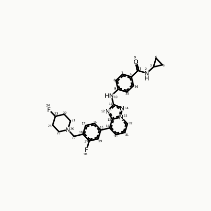 O=C(NC1CC1)c1ccc(Nc2nc3c(-c4ccc(CN5CCC(F)CC5)c(F)c4)cccn3n2)cc1